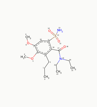 CCCc1c(OC)c(OC)cc(S(N)(=O)=O)c1C(=O)N(CC)CC